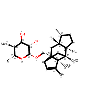 CO[C@H]1[C@@H](O)[C@H](O)[C@H](OC[C@@]23C[C@@H]4[C@H](C)CC[C@H]4[C@@]4(C=O)CC2C=C(C(C)C)[C@@]34C(=O)O)O[C@@H]1C